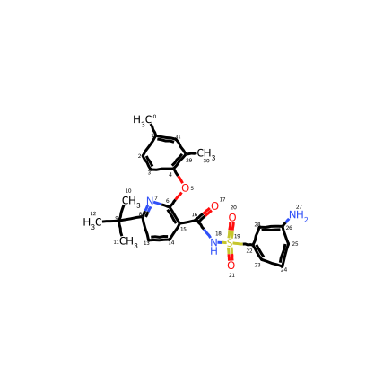 Cc1ccc(Oc2nc(C(C)(C)C)ccc2C(=O)NS(=O)(=O)c2cccc(N)c2)c(C)c1